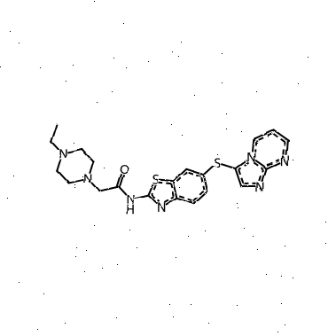 CCN1CCN(CC(=O)Nc2nc3ccc(Sc4cnc5ncccn45)cc3s2)CC1